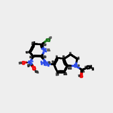 CC(=O)N1CCc2cc(Nc3nc(Cl)ccc3[N+](=O)[O-])ccc21